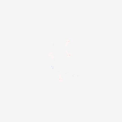 CCN1C(=O)C=CC1=O.O=C([O-])CI.[Cl-].[Co+2]